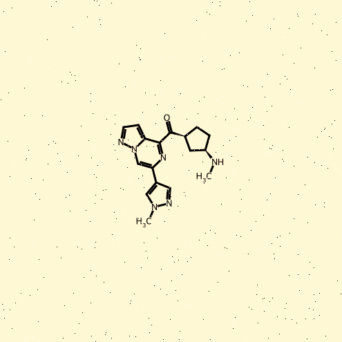 CN[C@@H]1CC[C@H](C(=O)c2nc(-c3cnn(C)c3)cn3nccc23)C1